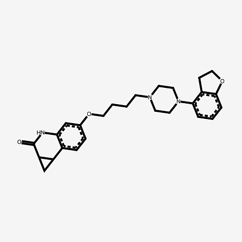 O=C1Nc2cc(OCCCCN3CCN(c4cccc5c4CCO5)CC3)ccc2C2CC12